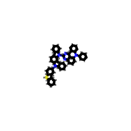 c1ccc(N2c3ccccc3-c3nc(-n4c5ccccc5c5ccc6c(c7ccccc7n6-c6ccc7sc8ccccc8c7c6)c54)nc4cccc2c34)cc1